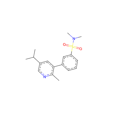 Cc1ncc(C(C)C)cc1-c1cccc(S(=O)(=O)N(C)C)c1